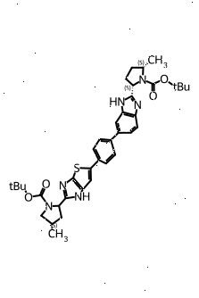 C[C@H]1CC(c2nc3sc(-c4ccc(-c5ccc6nc([C@@H]7CC[C@H](C)N7C(=O)OC(C)(C)C)[nH]c6c5)cc4)cc3[nH]2)N(C(=O)OC(C)(C)C)C1